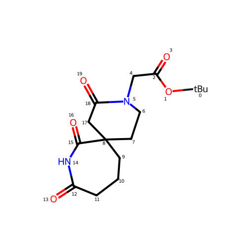 CC(C)(C)OC(=O)CN1CCC2(CCCC(=O)NC2=O)CC1=O